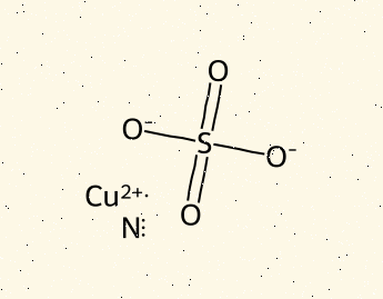 O=S(=O)([O-])[O-].[Cu+2].[N]